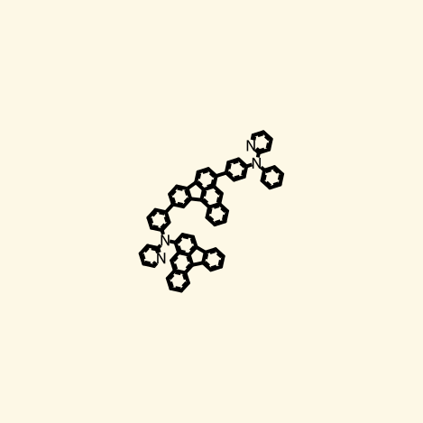 c1ccc(N(c2ccc(-c3ccc4c5c(c6ccccc6cc35)-c3cc(-c5cccc(N(c6ccccn6)c6ccc7c8c(c9ccccc9cc68)-c6ccccc6-7)c5)ccc3-4)cc2)c2ccccn2)cc1